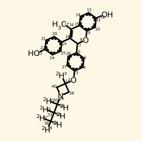 [2H]C1(Oc2ccc(C3Oc4cc(O)ccc4C(C)=C3c3ccc(O)cc3)cc2)CN(C([2H])([2H])C([2H])([2H])C([2H])([2H])[2H])C1